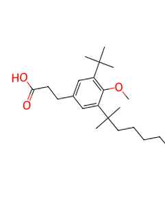 CCCCCC(C)(C)c1cc(CCC(=O)O)cc(C(C)(C)C)c1OC